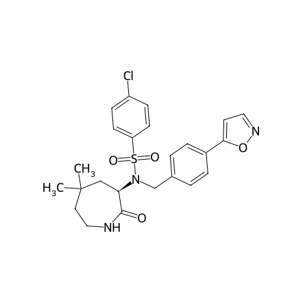 CC1(C)CCNC(=O)[C@H](N(Cc2ccc(-c3ccno3)cc2)S(=O)(=O)c2ccc(Cl)cc2)C1